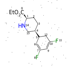 CCOC(=O)[C@H]1CC[C@@H](C2C=C(F)C=C(F)C2)CN1